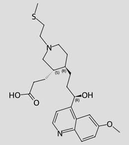 COc1ccc2nccc([C@H](O)CC[C@@H]3CCN(CCSC)C[C@H]3CCC(=O)O)c2c1